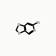 CCc1cc2c(cn1)OCO2